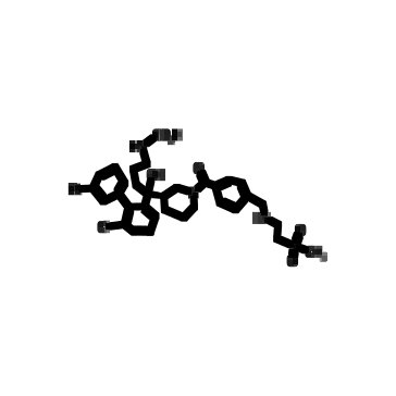 CCc1cccc(-c2c(Cl)cccc2C(O)(CCCNC(=O)O)[C@@H]2CCCN(C(=O)c3ccc(CNCCS(C)(=O)=O)cc3)C2)c1